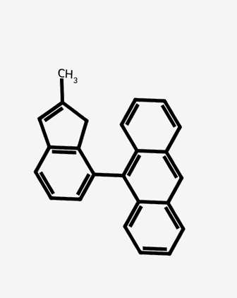 CC1=Cc2cccc(-c3c4ccccc4cc4ccccc34)c2C1